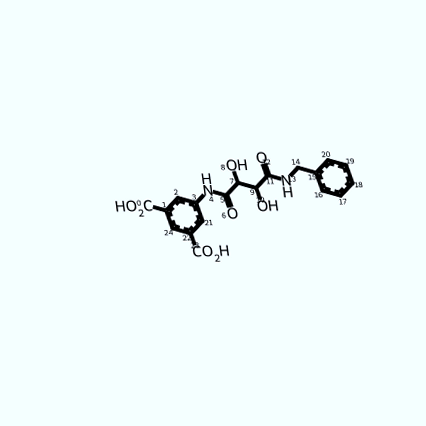 O=C(O)c1cc(NC(=O)C(O)C(O)C(=O)NCc2ccccc2)cc(C(=O)O)c1